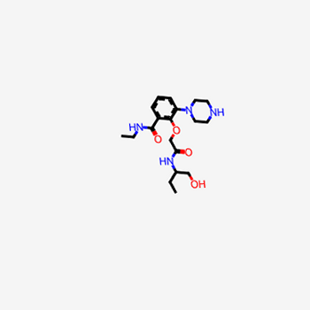 CCNC(=O)c1cccc(N2CCNCC2)c1OCC(=O)NC(CC)CO